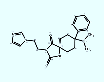 CN(C)[C@]1(c2ccccc2)CC[C@@]2(CC1)NC(=O)N(CCn1ccnc1)C2=O